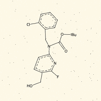 CC(C)(C)OC(=O)N(Cc1ccccc1Cl)c1ccc(CO)c(F)n1